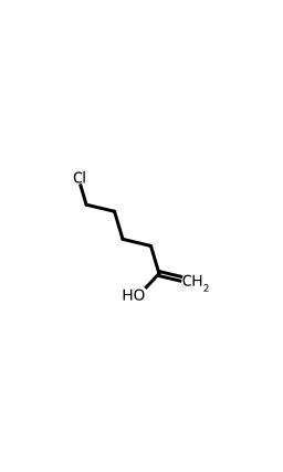 C=C(O)CCCCCl